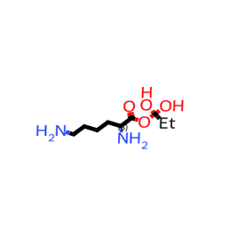 CCC(O)(O)OC(=O)[C@@H](N)CCCCN